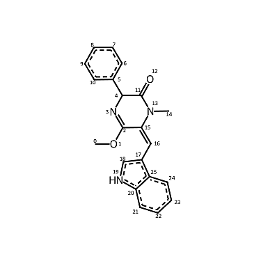 COC1=NC(c2ccccc2)C(=O)N(C)C1=Cc1c[nH]c2ccccc12